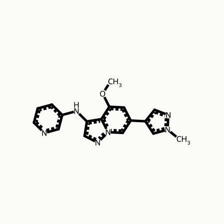 COc1cc(-c2cnn(C)c2)cn2ncc(Nc3cccnc3)c12